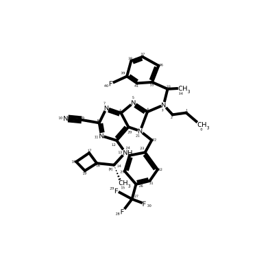 CCCN(c1nc2nc(C#N)nc(N[C@H](C)C3CCC3)c2n1Cc1ccc(C(F)(F)F)cc1)C(C)c1cccc(F)c1